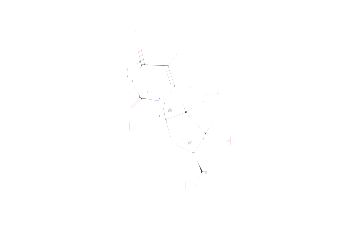 Cc1cn([C@]2(C)O[C@H](CO)[C@](O)(F)C2(F)F)c(=O)[nH]c1=O